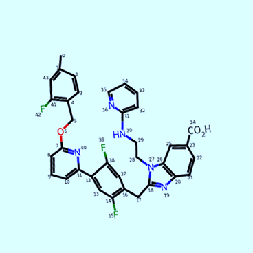 Cc1ccc(COc2cccc(-c3cc(F)c(Cc4nc5ccc(C(=O)O)cc5n4CCNc4ccccn4)cc3F)n2)c(F)c1